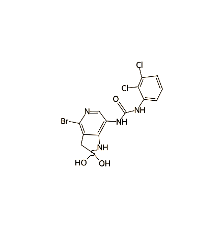 O=C(Nc1cccc(Cl)c1Cl)Nc1cnc(Br)c2c1NS(O)(O)C2